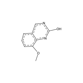 COc1cccc2cnc(O)nc12